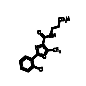 O=C(O)CCNC(=O)c1nc(-c2ccccc2Cl)oc1C(F)(F)F